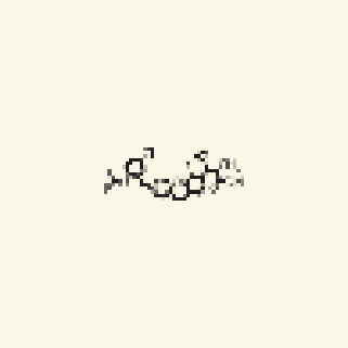 CC(C(=O)O)C(c1ccc2c(c1F)OC1(CC2)CCN(Cc2cc(Cl)ccc2OC(F)F)CC1)C1CC1